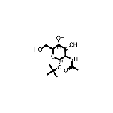 CC(=O)NC1[C@H](OC(C)(C)C)OC(CO)[C@@H](O)[C@@H]1O